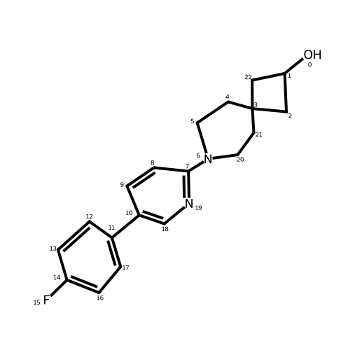 OC1CC2(CCN(c3ccc(-c4ccc(F)cc4)cn3)CC2)C1